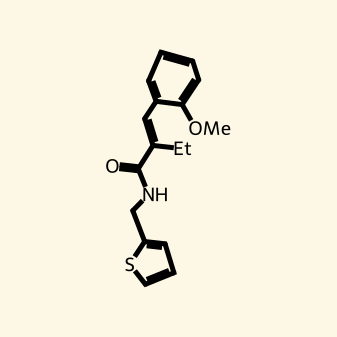 CCC(=Cc1ccccc1OC)C(=O)NCc1cccs1